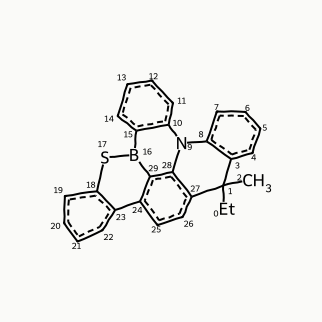 CCC1(C)c2ccccc2N2c3ccccc3B3Sc4ccccc4-c4ccc1c2c43